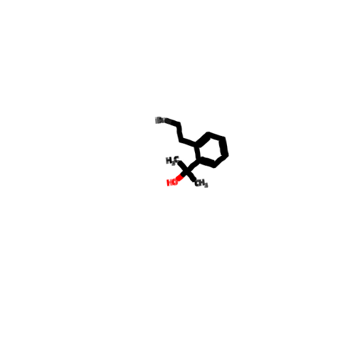 CCC(C)CCc1ccccc1C(C)(C)O